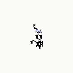 CCCc1c(N2CCN(C(=N/C)/N=C/CF)[C@H](C)C2)nnc(C)c1C